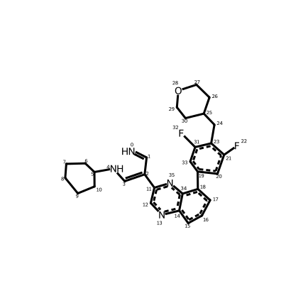 N=C/C(=C\NC1CCCCC1)c1cnc2cccc(-c3cc(F)c(CC4CCOCC4)c(F)c3)c2n1